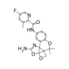 Cc1cc(F)cnc1C(=O)Nc1ccc2c(c1)C13N=C(N)OC14OCC43C(C)(C)O2